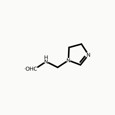 O=[C]NCN1C=NCC1